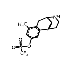 Cc1cc(OS(=O)(=O)C(F)(F)F)cc2c1CC1NCCC23CCCCC13